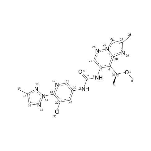 CO[C@@H](C)c1c(NC(=O)Nc2cnc(-n3ncc(C)n3)c(Cl)c2)cnn2cc(C)nc12